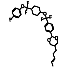 C/C=C/CCC1COC(c2ccc(C(F)(F)OC3CCC(C(F)(F)Oc4ccc(F)cc4)CC3)cc2)OC1